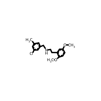 COc1ccc(OC)c(CCNCc2cc(C)cc(Cl)c2)c1